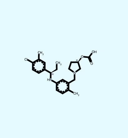 CC[C@@H](Nc1ccc(C)c(CN2CC[C@@H](OC(=O)O)C2)c1)c1ccc(Cl)c(C)c1